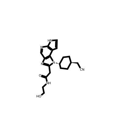 N#CC[C@H]1CC[C@H](n2c(CC(=O)NCCO)nc3cnc4[nH]ccc4c32)CC1